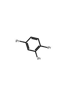 CC(C)c1ccc(C(C)C)c(C(C)C)c1